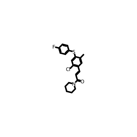 Cc1cc(/C=C/C(=O)N2CCCCC2)c(Cl)cc1Sc1ccc(F)cc1